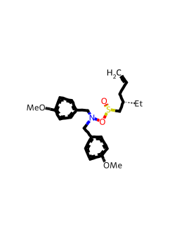 C=CC[C@H](CC)CS(=O)ON(Cc1ccc(OC)cc1)Cc1ccc(OC)cc1